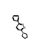 [c]1ccc(-c2ccc(N3CCCC3)nn2)cc1